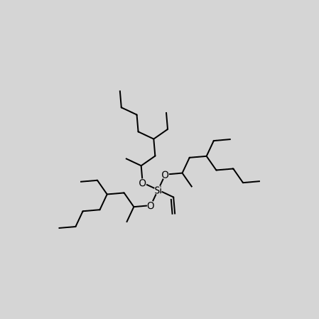 C=C[Si](OC(C)CC(CC)CCCC)(OC(C)CC(CC)CCCC)OC(C)CC(CC)CCCC